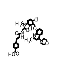 Cc1cc(N2CCOCC2)c2cccc(OCc3c(Cl)ccc(N(C)C(=O)CNC(=O)C=Cc4ccc(C(=O)O)cc4)c3Cl)c2n1